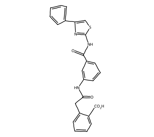 O=C(Cc1ccccc1C(=O)O)Nc1cccc(C(=O)Nc2nc(-c3ccccc3)cs2)c1